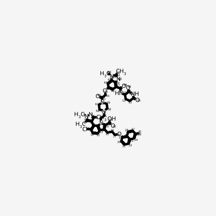 Cc1nn(C)c(C)c1-c1c(Cl)ccc2c(CCCOc3cccc4cc(F)ccc34)c(C(=O)O)n(CCN3CCN(C(=O)COc4cc(C(=O)NC5CCC(=O)NC5=O)c5nc(C)n(C)c5c4)CC3)c12